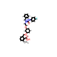 Cc1cccc(CO[C@@H]2CCC[C@H](OCCN(Cc3ccccc3)C(=O)Nc3ccc(F)cc3)C2)c1C(=O)O